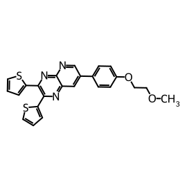 COCCOc1ccc(-c2cnc3nc(-c4cccs4)c(-c4cccs4)nc3c2)cc1